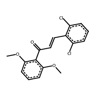 COc1cccc(OC)c1C(=O)/C=C/c1c(Cl)cccc1Cl